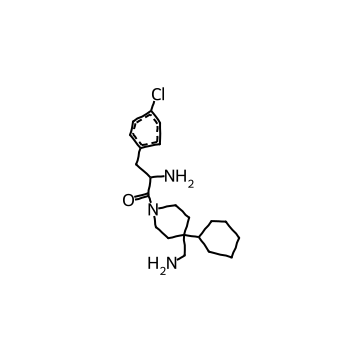 NCC1(C2CCCCC2)CCN(C(=O)C(N)Cc2ccc(Cl)cc2)CC1